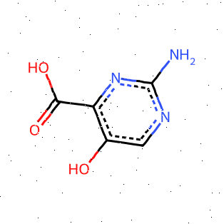 Nc1ncc(O)c(C(=O)O)n1